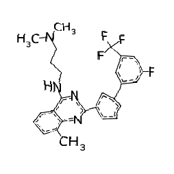 Cc1cccc2c(NCCCN(C)C)nc(-c3cccc(-c4cc(F)cc(C(F)(F)F)c4)c3)nc12